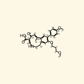 COCCCOc1cc2c(cc1-c1ccc(OC)cc1)/C(C)=C/C(=O)/C(C(=O)O)=C\NCC2